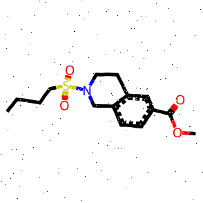 CCCCS(=O)(=O)N1CCc2cc(C(=O)OC)ccc2C1